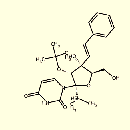 C[SiH](C)[C@@]1(n2ccc(=O)[nH]c2=O)O[C@H](CO)[C@](O)(C=Cc2ccccc2)[C@H]1OC(C)(C)C